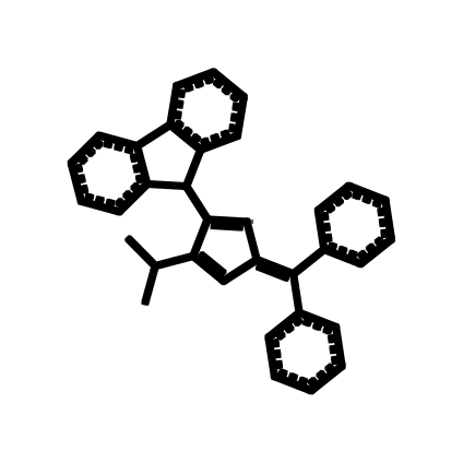 CC(C)C1=CC(=C(c2ccccc2)c2ccccc2)[C]=C1C1c2ccccc2-c2ccccc21